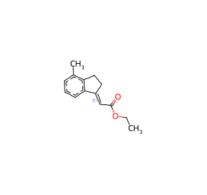 CCOC(=O)/C=C1\CCc2c(C)cccc21